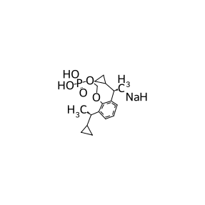 C[C@@H](c1cccc([C@H](C)C2CC2)c1OCOP(=O)(O)O)C1CC1.[NaH]